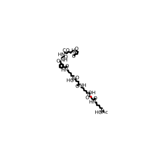 CC(=O)N(O)CCCCCNC(=O)CCC(=O)N(O)CCCCCNC(=O)CCC(=O)N(O)CCCCCNC(=O)c1cccc(C(=O)NCC(=O)N[C@@H](CCCCN2C(=O)C=CC2=O)C(=O)O)c1